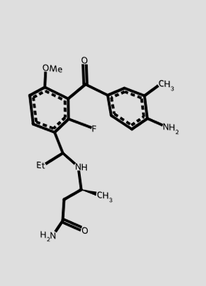 CCC(N[C@@H](C)CC(N)=O)c1ccc(OC)c(C(=O)c2ccc(N)c(C)c2)c1F